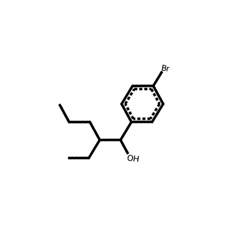 CCCC(CC)C(O)c1ccc(Br)cc1